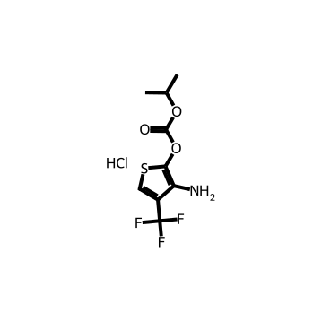 CC(C)OC(=O)Oc1scc(C(F)(F)F)c1N.Cl